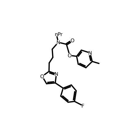 CCCN(CCCc1nc(-c2ccc(F)cc2)co1)C(=O)Oc1ccc(C)nc1